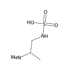 CNC(C)CNS(=O)(=O)O